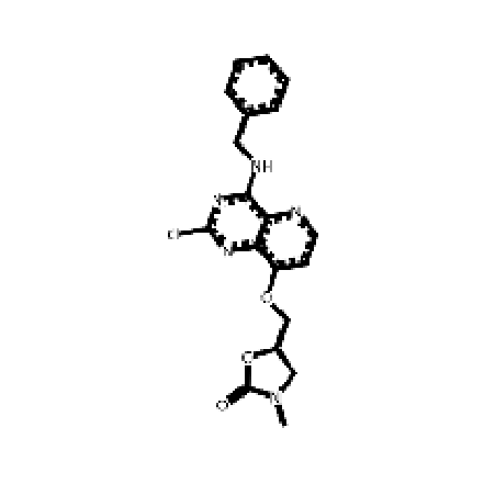 CN1CC(COc2ccnc3c(NCc4ccccc4)nc(Cl)nc23)OC1=O